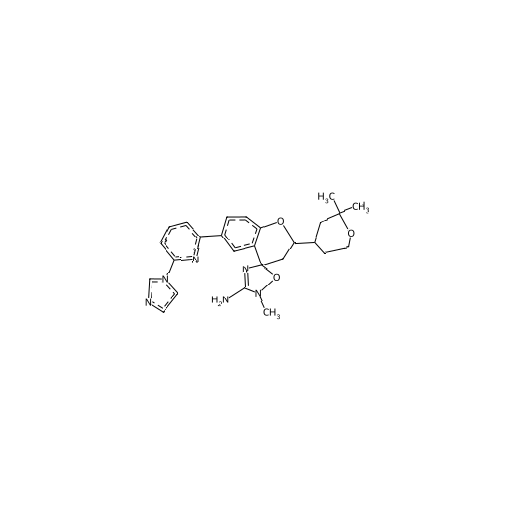 CN1OC2(CC(C3CCOC(C)(C)C3)Oc3ccc(-c4cccc(-n5ccnc5)n4)cc32)N=C1N